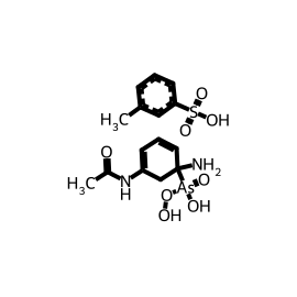 CC(=O)NC1=CC=CC(N)([As](=O)(O)OO)C1.Cc1cccc(S(=O)(=O)O)c1